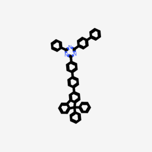 c1ccc(-c2ccc(-c3nc(-c4ccccc4)nc(-c4ccc(-c5ccc(-c6ccc7c(c6)-c6ccccc6C7(c6ccccc6)c6ccccc6)cc5)cc4)n3)cc2)cc1